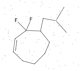 CC(C)CC1CCCC/C=C\C1(F)F